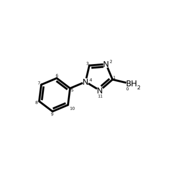 Bc1ncn(-c2ccccc2)n1